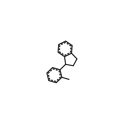 Cc1ccccc1C1CCc2ccccc21